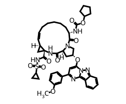 COc1cccc(-c2cc(O[C@@H]3C[C@H]4C(=O)N[C@]5(C(=O)NS(=O)(=O)C6CC6)C[C@H]5/C=C\CCCCC[C@H](NC(=O)OC5CCCC5)C(=O)N4C3)n3nc4ccccc4c3n2)c1